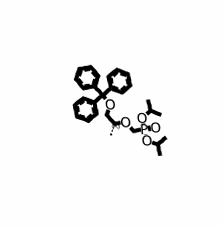 CC(C)OP(=O)(CO[C@H](C)COC(c1ccccc1)(c1ccccc1)c1ccccc1)OC(C)C